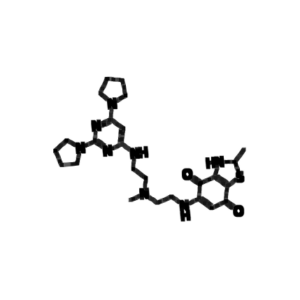 CC1NC2=C(S1)C(=O)C=C(NCCN(C)CCNc1cc(N3CCCC3)nc(N3CCCC3)n1)C2=O